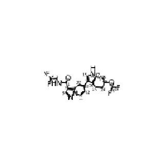 O=C(NCC(F)F)c1cnn2ccc(-c3c[nH]c4nc(OC(F)F)ccc34)cc12